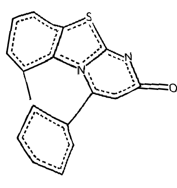 Cc1cccc2sc3nc(=O)cc(-c4ccccc4)n3c12